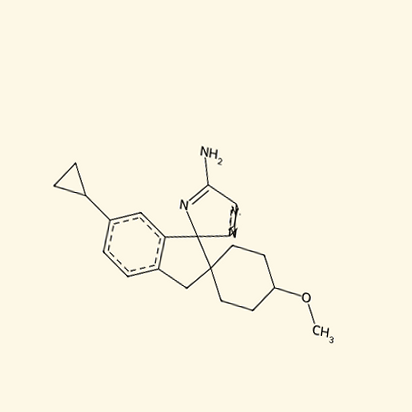 COC1CCC2(CC1)Cc1ccc(C3CC3)cc1C21N=C(N)c2ccncc21